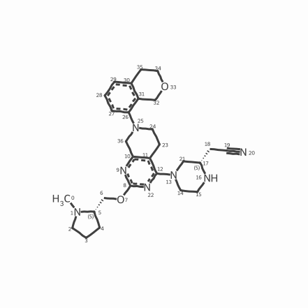 CN1CCC[C@H]1COc1nc2c(c(N3CCN[C@@H](CC#N)C3)n1)CCN(c1cccc3c1COCC3)C2